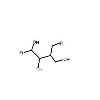 CCC(O)C(O)C(CO)CC(C)C